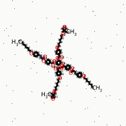 CCCCCCCCOc1ccc(/C=C/C(=O)Oc2ccc(C(=O)Oc3cc(OC(=O)c4ccc(OCCCCCCOCC5(CC)COC5)cc4)c(OC(=O)c4ccc(OC(=O)/C=C/c5ccc(OCCCCCCCC)cc5)cc4)cc3OC(=O)c3ccc(OCCCCCCOCC4(CC)COC4)cc3)cc2)cc1